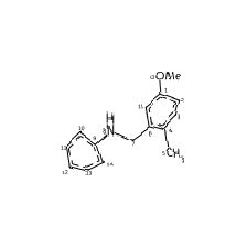 COc1ccc(C)c(CNc2ccccc2)c1